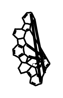 C1=CC2C3C=CC4c5ccc6c7c8c9c%10c(c57)C4C3=C3c%10c4c9c5c7c(ccc9c1c(c4c97)C32)=C1CCC6C82Cc3ccsc3CC152